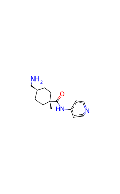 C[C@]1(C(=O)Nc2ccncc2)CC[C@H](CN)CC1